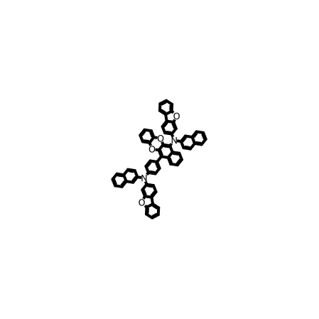 c1ccc2c(c1)Oc1c(c(N(c3ccc4ccccc4c3)c3ccc4c(c3)oc3ccccc34)c3ccccc3c1-c1ccc(N(c3ccc4ccccc4c3)c3ccc4c(c3)oc3ccccc34)cc1)O2